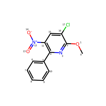 COc1nc(-c2ccccc2)c([N+](=O)[O-])cc1Cl